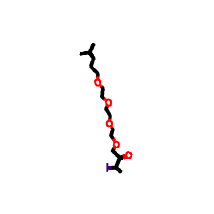 CC(C)CCCOCCOCCOCCOCC(=O)C(C)I